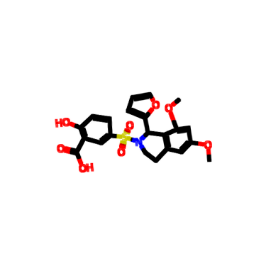 COc1cc2c(c(OC)c1)C(c1ccco1)N(S(=O)(=O)c1ccc(O)c(C(=O)O)c1)CC2